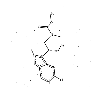 Cc1cc2cnc(Cl)nc2n1[C@@H](CC(C)C)CN(C)C(=O)OC(C)(C)C